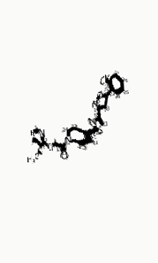 COc1cncnc1OCC(=O)N1CCC(c2nc(C3=NOC(c4[c]cccc4Cl)C3)cs2)CC1